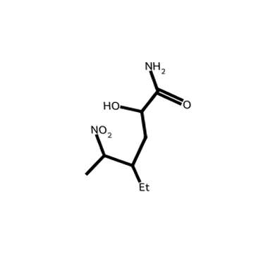 CCC(CC(O)C(N)=O)C(C)[N+](=O)[O-]